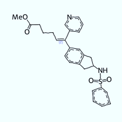 COC(=O)CCC/C=C(\c1cccnc1)c1ccc2c(c1)CC(NS(=O)(=O)c1ccccc1)C2